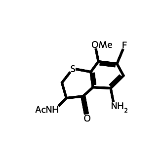 COc1c(F)cc(N)c2c1SCC(NC(C)=O)C2=O